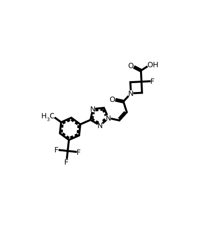 Cc1cc(-c2ncn(/C=C\C(=O)N3CC(F)(C(=O)O)C3)n2)cc(C(F)(F)F)c1